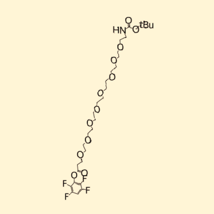 CC(C)(C)OC(=O)NCCOCCOCCOCCOCCOCCOCCOCCOCCC(=O)Oc1c(F)c(F)cc(F)c1F